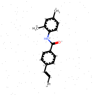 Cc1ccc(NC(=O)c2ccc(/C=C/C(C)C)cc2)c(C)c1